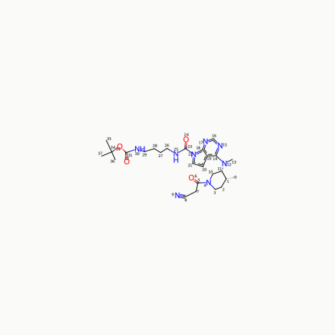 C[C@@H]1CCN(C(=O)CC#N)C[C@@H]1N(C)c1ncnc2c1ccn2C(=O)NCCCCNC(=O)OC(C)(C)C